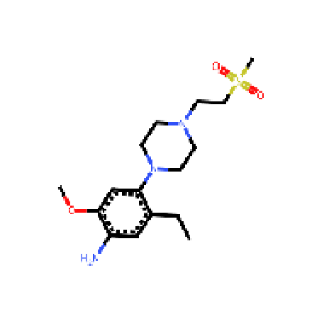 CCc1cc(N)c(OC)cc1N1CCN(CCS(C)(=O)=O)CC1